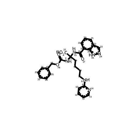 O=C(NC(CCCCNc1ccccn1)(NC(=O)c1cccc2cn[nH]c12)C(=O)O)OCc1ccccc1